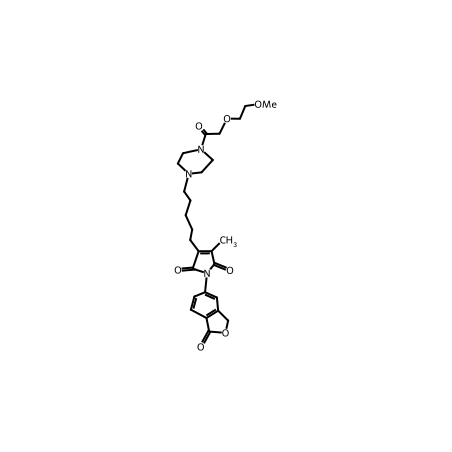 COCCOCC(=O)N1CCN(CCCCCC2=C(C)C(=O)N(c3ccc4c(c3)COC4=O)C2=O)CC1